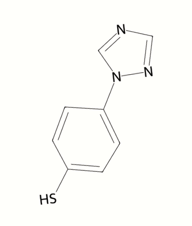 Sc1ccc(-n2cncn2)cc1